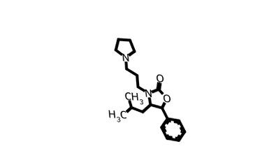 CC(C)CC1C(c2ccccc2)OC(=O)N1CCCN1CCCC1